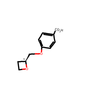 O=C(O)c1ccc(OC[C@@H]2CCO2)cc1